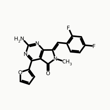 CN1C(=O)c2c(nc(N)nc2-c2ccco2)C1=Cc1ccc(F)cc1F